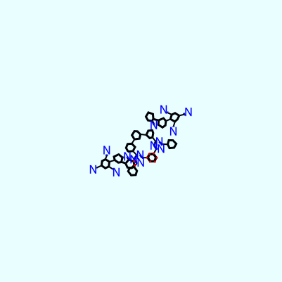 N#Cc1cc(C#N)c(-c2ccc3c(c2)c2ccccc2n3-c2cc(-c3cccc(-c4ccc(-n5c6ccccc6c6cc(-c7c(C#N)cc(C#N)cc7C#N)ccc65)c(-c5nc(-c6ccccc6)nc(-c6ccccc6)n5)c4)c3)cc(-c3nc(-c4ccccc4)nc(-c4ccccc4)n3)c2)c(C#N)c1